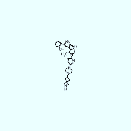 C[C@@H]1c2c([nH]c3nnc(-c4ccccc4O)cc23)CCN1c1ncc(N2CCN(C3CC4(CNC4)C3)CC2)cn1